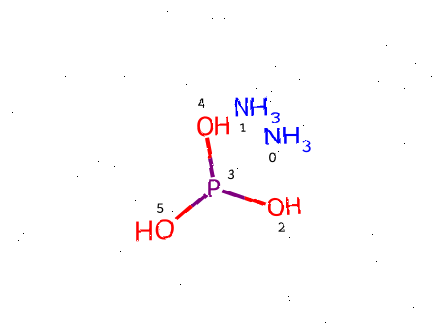 N.N.OP(O)O